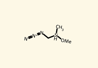 CO[SiH](C)CN=[N+]=[N-]